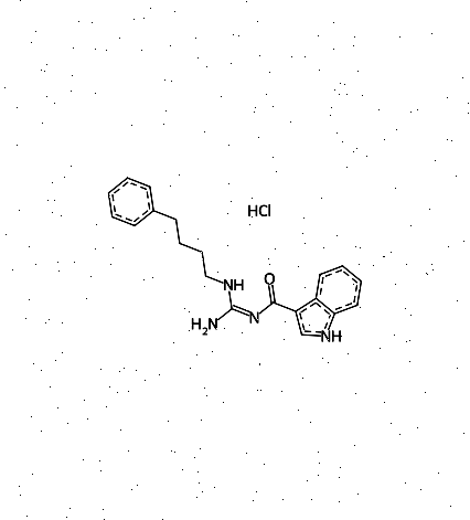 Cl.NC(=NC(=O)c1c[nH]c2ccccc12)NCCCCc1ccccc1